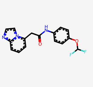 O=C(Cc1cccc2nccn12)Nc1ccc(OC(F)F)cc1